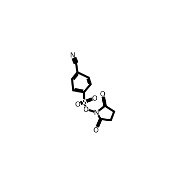 N#Cc1ccc(S(=O)(=O)ON2C(=O)CCC2=O)cc1